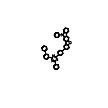 c1ccc(-c2cccc(-c3nc(-c4ccccc4)nc(-c4ccc(-c5ccc6oc7cc8c9ccccc9n(-c9ccccc9)c8cc7c6c5)cc4)n3)c2)cc1